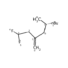 C=C(CC(F)F)C[C@H](C)CCCC